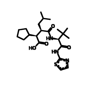 CC(C)C[C@@H](C(=O)N[C@H](C(=O)Nc1nccs1)C(C)(C)C)[C@@H](C(=O)O)C1CCCC1